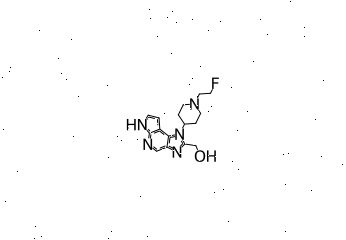 OCc1nc2cnc3[nH]ccc3c2n1C1CCN(CCF)CC1